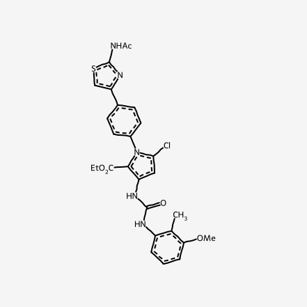 CCOC(=O)c1c(NC(=O)Nc2cccc(OC)c2C)cc(Cl)n1-c1ccc(-c2csc(NC(C)=O)n2)cc1